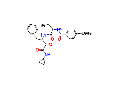 COc1ccc(C(=O)NC(CC(C)C)C(=O)NC(Cc2ccccc2)C(=O)C(=O)NC2CC2)cc1